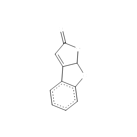 O=C1C=C2c3ccccc3OC2O1